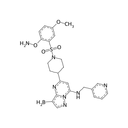 Bc1cnn2c(NCc3cccnc3)cc(C3CCN(S(=O)(=O)c4cc(OC)ccc4ON)CC3)nc12